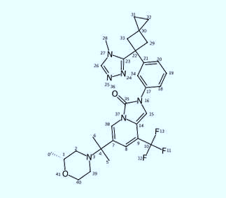 C[C@@H]1CN(C(C)(C)c2cc(C(F)(F)F)c3cn(-c4cccc(C5(c6nncn6C)CC6(CC6)C5)c4)c(=O)n3c2)CCO1